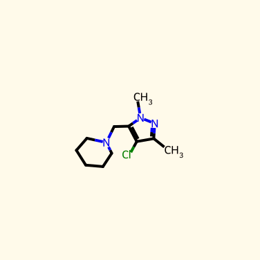 Cc1nn(C)c(CN2CCCCC2)c1Cl